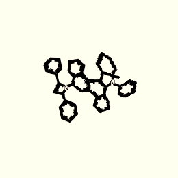 CC12C=CC=CC1c1c(c3ccccc3c3cc(N4C(c5ccccc5)=CC4c4ccccc4)c4ccccc4c13)N2c1ccccc1